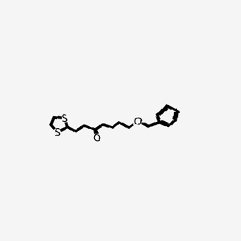 O=C(CCCCOCc1ccccc1)CCC1SCCS1